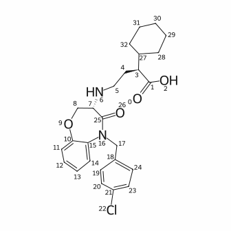 O=C(O)[C@@H](CCN[C@H]1COc2ccccc2N(Cc2ccc(Cl)cc2)C1=O)C1CCCCC1